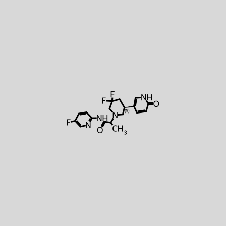 CC(C(=O)Nc1ccc(F)cn1)N1C[C@H](c2ccc(=O)[nH]c2)CC(F)(F)C1